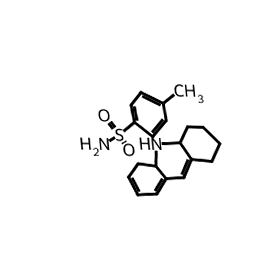 C1=CCC2NC3CCCCC3=CC2=C1.Cc1ccc(S(N)(=O)=O)cc1